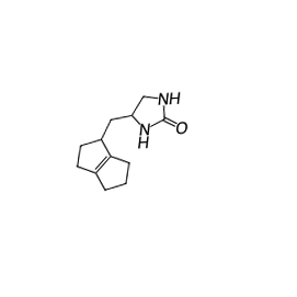 O=C1NCC(CC2CCC3=C2CCC3)N1